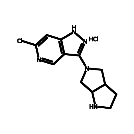 Cl.Clc1cc2[nH]nc(N3CC4CCNC4C3)c2cn1